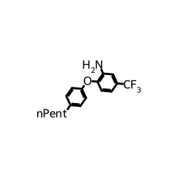 CCCCCc1ccc(Oc2ccc(C(F)(F)F)cc2N)cc1